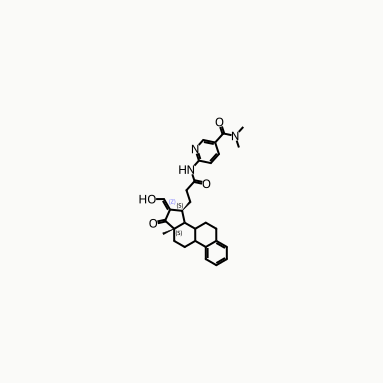 CN(C)C(=O)c1ccc(NC(=O)CC[C@@H]2/C(=C/O)C(=O)[C@@]3(C)CCC4c5ccccc5CCC4C23)nc1